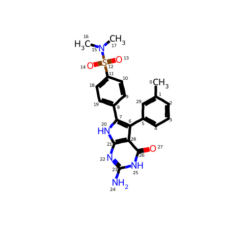 Cc1cccc(-c2c(-c3ccc(S(=O)(=O)N(C)C)cc3)[nH]c3nc(N)[nH]c(=O)c23)c1